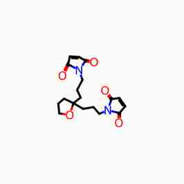 O=C1C=CC(=O)N1CCCC1(CCCN2C(=O)C=CC2=O)CCCO1